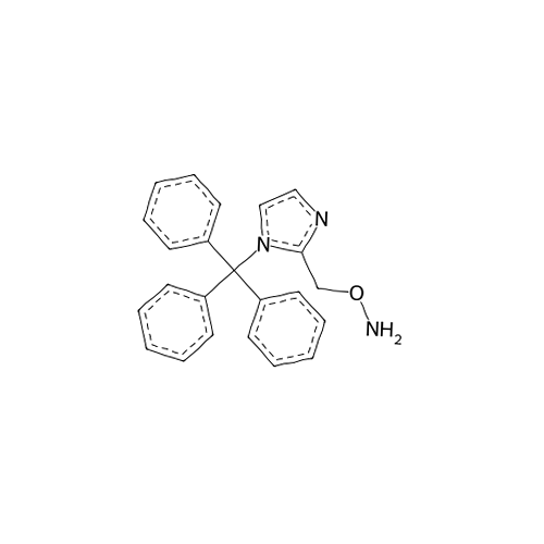 NOCc1nccn1C(c1ccccc1)(c1ccccc1)c1ccccc1